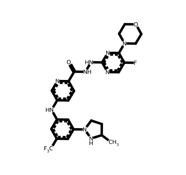 CC1CCN(c2cc(Nc3ccc(C(=O)NNc4ncc(F)c(N5CCOCC5)n4)nc3)cc(C(F)(F)F)c2)N1